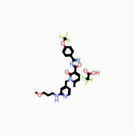 COCCCNc1cc(Cn2c(C)ccc(-c3nc(-c4ccc(OC(F)(F)F)cc4)no3)c2=O)ccn1.O=C(O)C(F)(F)F